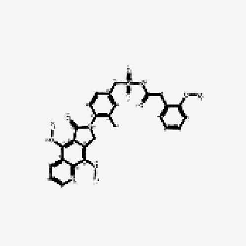 CCOc1ccccc1CC(=O)NS(=O)(=O)Cc1ccc(N2Cc3c(c(OCC)c4cccnc4c3OCC)C2=O)c(C)c1